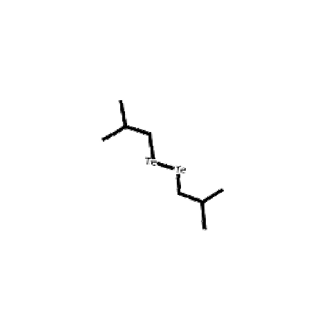 CC(C)C[Te][Te]CC(C)C